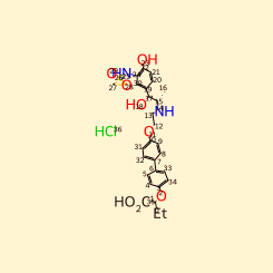 CCC(Oc1ccc(-c2ccc(OCCN[C@@H](C)[C@@H](O)c3ccc(O)c(NS(C)(=O)=O)c3)cc2)cc1)C(=O)O.Cl